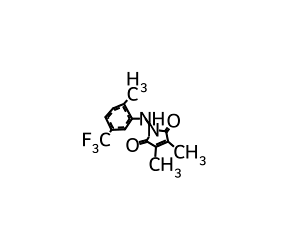 CC1=C(C)C(=O)N(Nc2cc(C(F)(F)F)ccc2C)C1=O